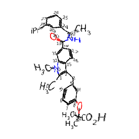 Cc1c(Cc2cccc(OC(C)(C)C(=O)O)c2)c2ccc(C(=O)N[C@@H](C)c3cccc(C(C)C)c3)cc2n1C